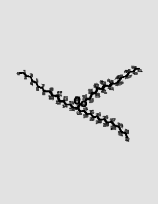 CCCCCCCCCCCCCCCCCC(CCCCCCCCCCCCCCC)C(=O)OCCCCCCCCCCCCCCCC